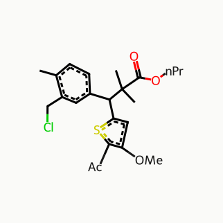 CCCOC(=O)C(C)(C)C(c1ccc(C)c(CCl)c1)c1cc(OC)c(C(C)=O)s1